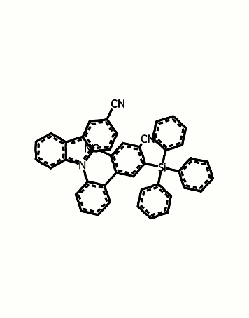 N#Cc1ccc2c(c1)c1ccccc1n2-c1ccccc1-c1cc([Si](c2ccccc2)(c2ccccc2)c2ccccc2)c(C#N)cc1C#N